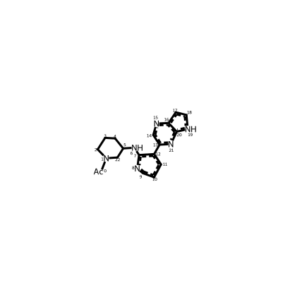 CC(=O)N1CCCC(Nc2ncccc2-c2cnc3cc[nH]c3n2)C1